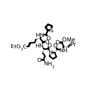 CCOC(=O)C=CCC[C@H](NC(=O)c1cccs1)C(=O)N[C@@H](CCC(N)=O)C(=O)N1CCC[C@H]1C(=O)N[C@@H](CC(C)C)C(=O)OC